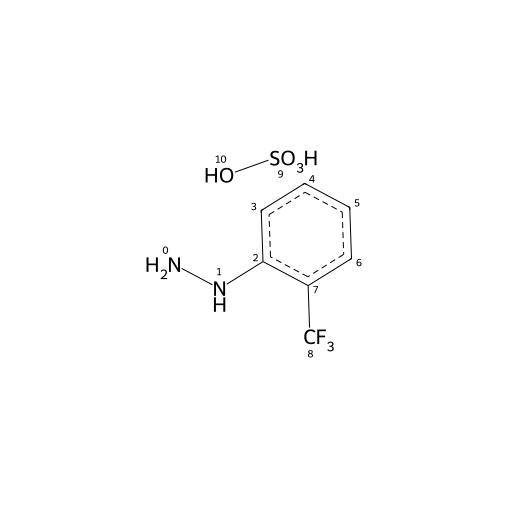 NNc1ccccc1C(F)(F)F.O=S(=O)(O)O